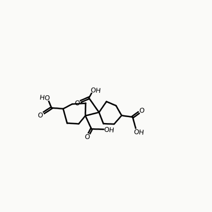 O=C(O)C1CCC(C(=O)O)(C2(C(=O)O)CCC(C(=O)O)CC2)CC1